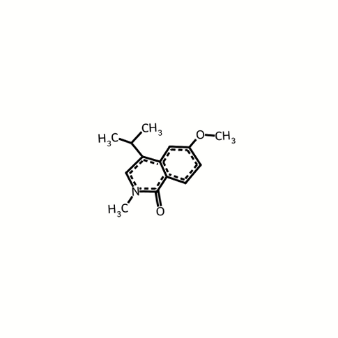 COc1ccc2c(=O)n(C)cc(C(C)C)c2c1